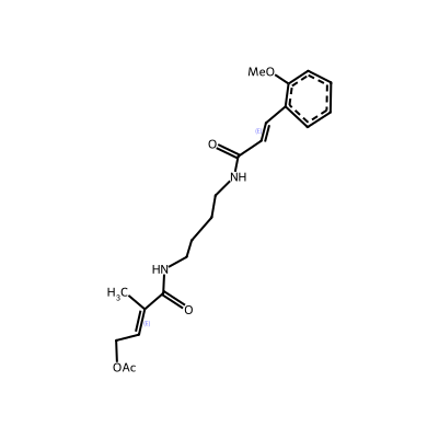 COc1ccccc1/C=C/C(=O)NCCCCNC(=O)/C(C)=C/COC(C)=O